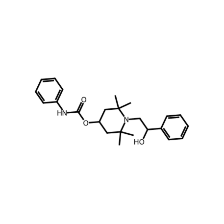 CC1(C)CC(OC(=O)Nc2ccccc2)CC(C)(C)N1CC(O)c1ccccc1